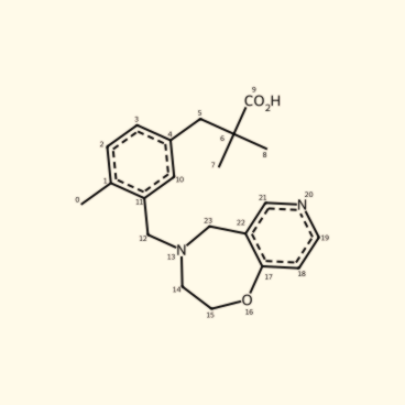 Cc1ccc(CC(C)(C)C(=O)O)cc1CN1CCOc2ccncc2C1